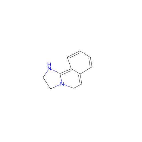 C1=c2ccccc2=C2NCCN2C1